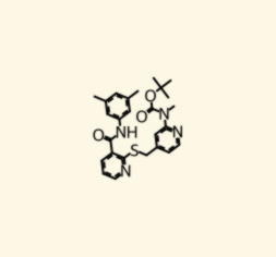 Cc1cc(C)cc(NC(=O)c2cccnc2SCc2ccnc(N(C)C(=O)OC(C)(C)C)c2)c1